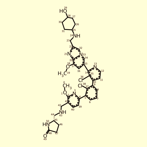 COc1nc(-c2cccc(-c3ccnc(-c4cc(OC)c5nc(CNC6CCC(O)CC6)cn5c4)c3Cl)c2Cl)ccc1CNC[C@@H]1CCC(=O)N1